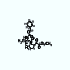 CCOC(=O)C(=O)C1CCCN1C(=O)[C@H](NC(=O)OCc1ccccc1)C(C)C